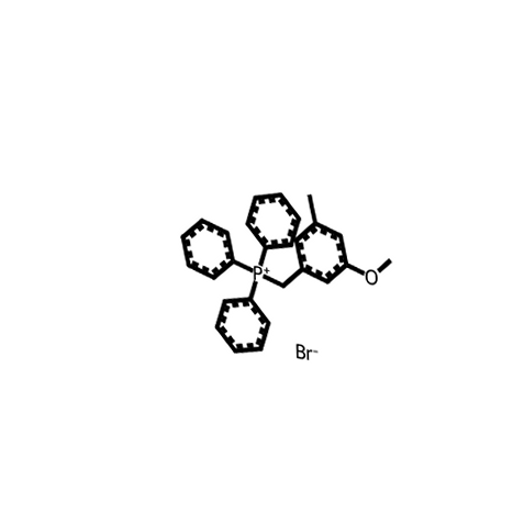 COc1cc(C)cc(C[P+](c2ccccc2)(c2ccccc2)c2ccccc2)c1.[Br-]